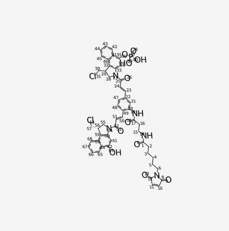 O=C(CCCCCN1C(=O)C=CC1=O)NCCC(=O)Nc1cc(C=CC(=O)N2CC(CCl)c3c2cc(OP(=O)(O)O)c2ccccc32)ccc1C=CC(=O)N1C[C@@H](CCl)c2c1cc(O)c1ccccc21